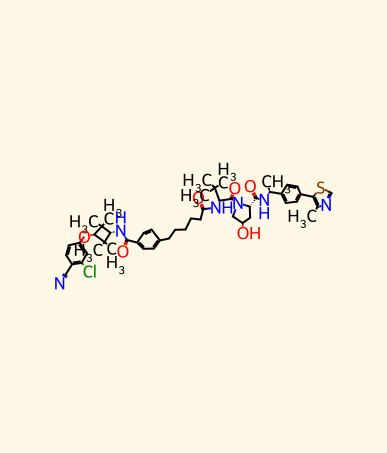 Cc1ncsc1-c1ccc([C@H](C)NC(=O)[C@@H]2C[C@@H](O)CN2C(=O)[C@@H](NC(=O)CCCCCc2ccc(C(=O)N[C@H]3C(C)(C)[C@H](Oc4ccc(C#N)c(Cl)c4)C3(C)C)cc2)C(C)(C)C)cc1